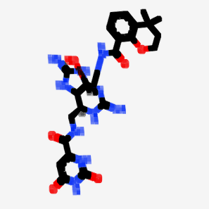 CC1(C)CCOc2c(C(=O)NC3CN4C(=N)N[C@@H](CNC(=O)c5cc(=O)[nH]c(=O)[nH]5)C5NC(=N)NC54[C@@H]3O)cccc21